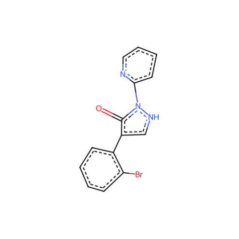 O=c1c(-c2ccccc2Br)c[nH]n1-c1ccccn1